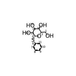 OCC1O[C@H](Sc2ccccc2)[C@@H](O)C(O)[C@H]1O